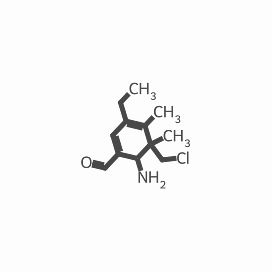 CCC1=C(C)C(C)(CCl)C(N)C(C=O)=C1